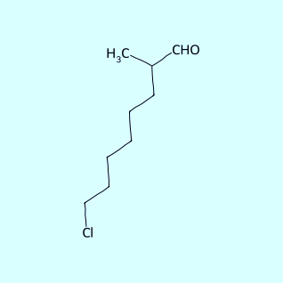 CC(C=O)CCCCCCCl